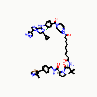 Cc1ncsc1-c1ccc(CNC(=O)[C@@H]2CCCN2C(=O)[C@@H](NC(=O)CCCCCCCCC(=O)N2CCN(C(=O)c3ccc(Nc4nc(C5CC5)cn5c(-c6cn[nH]c6)cnc45)c(F)c3)CC2)C(C)(C)C)cc1